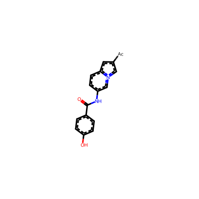 CC(=O)c1cc2ccc(NC(=O)c3ccc(O)cc3)cn2c1